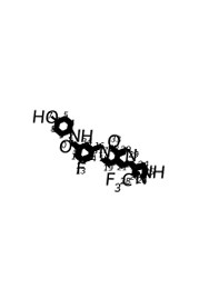 O=C(N[C@H]1CC[C@H](O)CC1)c1cc(F)cc(Cn2ccc3cc(-c4c[nH]nc4C(F)(F)F)ncc3c2=O)c1